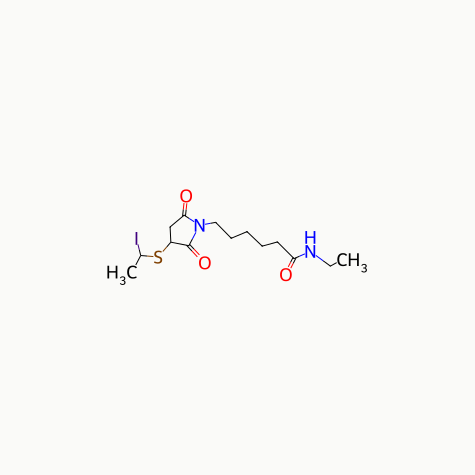 CCNC(=O)CCCCCN1C(=O)CC(SC(C)I)C1=O